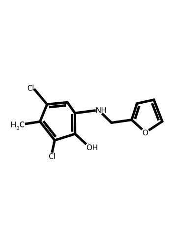 Cc1c(Cl)cc(NCc2ccco2)c(O)c1Cl